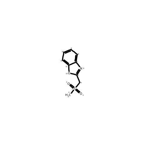 CS(=O)(=O)Cc1nc2ccccc2o1